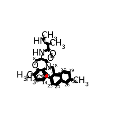 CN[C@@H](C)C(=O)N[C@H]1COc2c(C)cccc2N(Cc2c(OC)ccc3cc(C)ccc23)C1=O